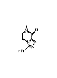 CCCc1nnc2c(=O)n(C)ccn12